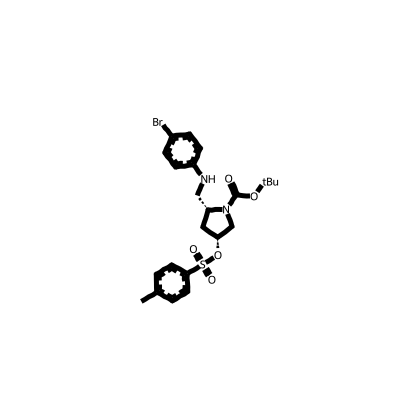 Cc1ccc(S(=O)(=O)O[C@@H]2C[C@H](CNc3ccc(Br)cc3)N(C(=O)OC(C)(C)C)C2)cc1